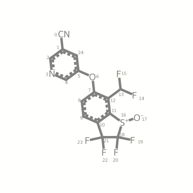 N#Cc1cncc(Oc2ccc3c(c2C(F)F)[S+]([O-])C(F)(F)C3(F)F)c1